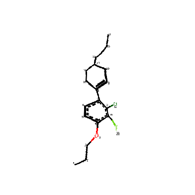 CCCOc1ccc(C2=CCC(CCC)CC2)c(Cl)c1F